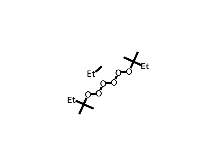 CCC.CCC(C)(C)OOOOOOC(C)(C)CC